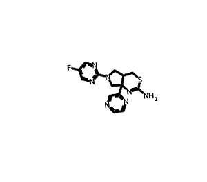 NC1=NC2(c3cnccn3)CN(c3ncc(F)cn3)CC2CS1